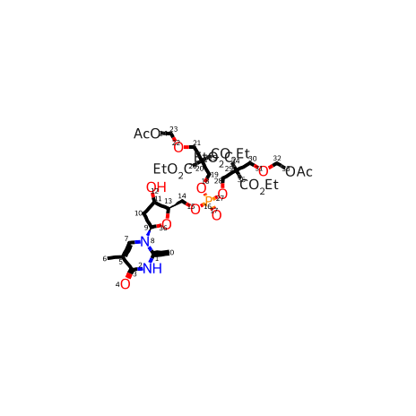 C=C1NC(=O)C(C)=CN1[C@H]1CC(O)[C@@H](COP(=O)(OCC(COCOC(C)=O)(C(=O)OCC)C(=O)OCC)OCC(COCOC(C)=O)(C(=O)OCC)C(=O)OCC)O1